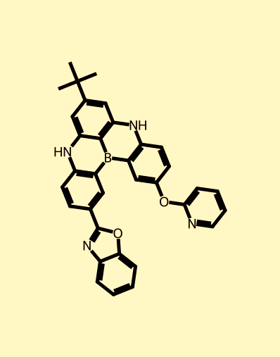 CC(C)(C)c1cc2c3c(c1)Nc1ccc(-c4nc5ccccc5o4)cc1B3c1cc(Oc3ccccn3)ccc1N2